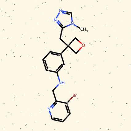 Cn1cnnc1CC1(c2cccc(NCc3ncccc3Br)c2)COC1